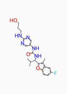 Cc1c([C@H](NC(=O)Nc2cnc(NCCCO)nc2)C(C)C)oc2ccc(F)cc12